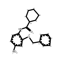 O=C(Nc1ccc([N+](=O)[O-])cc1OCc1ccccc1)C1CCCCC1